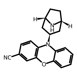 N#Cc1ccc2c(c1)Oc1ccccc1N2[C@@H]1C[C@H]2CC[C@@H](C1)N2